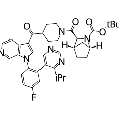 CC(C)c1ncncc1-c1cc(F)ccc1-n1cc(C(=O)C2CCN(C(=O)[C@@H]3[C@H]4CC[C@H](C4)N3C(=O)OC(C)(C)C)CC2)c2ccncc21